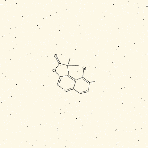 Cc1ccc2ccc3c(c2c1Br)C(C)(C)C(=O)O3